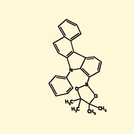 CC1(C)OB(c2cccc3c4c5ccccc5ccc4n(-c4ccccc4)c23)OC1(C)C